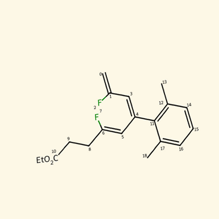 C=C(F)/C=C(\C=C(/F)CCC(=O)OCC)c1c(C)cccc1C